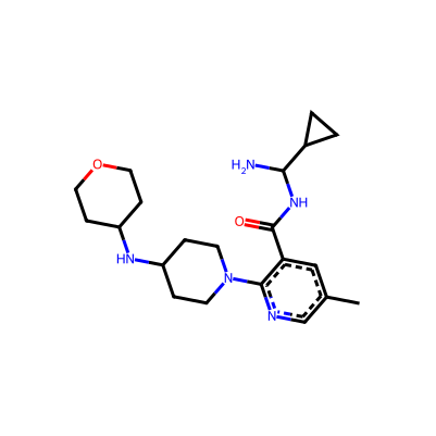 Cc1cnc(N2CCC(NC3CCOCC3)CC2)c(C(=O)NC(N)C2CC2)c1